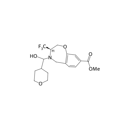 COC(=O)c1ccc2c(c1)OC[C@H](C(F)(F)F)N(C(O)C1CCOCC1)C2